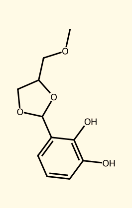 COCC1COC(c2cccc(O)c2O)O1